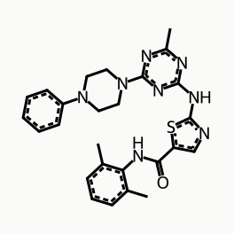 Cc1nc(Nc2ncc(C(=O)Nc3c(C)cccc3C)s2)nc(N2CCN(c3ccccc3)CC2)n1